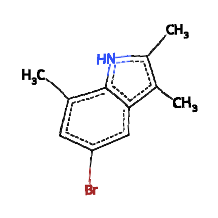 Cc1[nH]c2c(C)cc(Br)cc2c1C